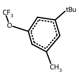 Cc1cc(OC(F)(F)F)cc(C(C)(C)C)c1